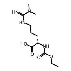 CCOC(=O)N[C@@H](CCCNC(=N)N(C)C)C(=O)O